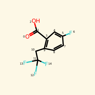 O=C(O)c1cc(F)ccc1CC(F)(F)F